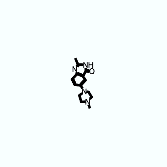 Cc1nc2ccc(N3CCN(C)CC3)cc2c(=O)[nH]1